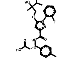 Cc1ccc([C@H](CC(=O)O)NC(=O)c2cc(OCC(C)(O)C(C)C)n(-c3ccccc3F)n2)cc1